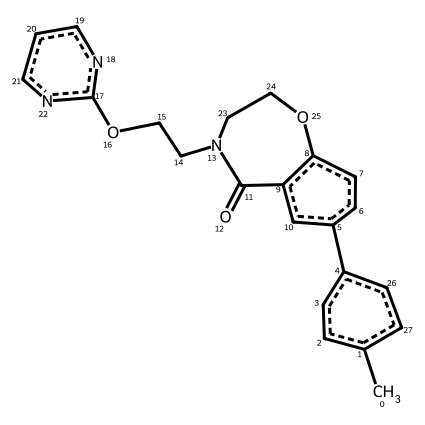 Cc1ccc(-c2ccc3c(c2)C(=O)N(CCOc2ncccn2)CCO3)cc1